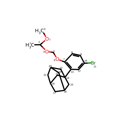 COC(C)OCOc1ccc(Br)cc1C12CC3CC(CC(C3)C1)C2